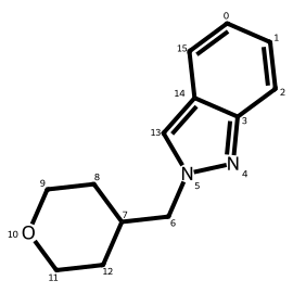 c1ccc2nn(CC3CCOCC3)cc2c1